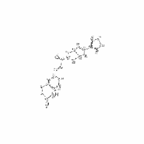 O=C1CCc2cc(/C=C/C(=O)N3CC4C=C(c5nccs5)CC4C3)cnc2N1